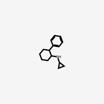 c1ccc(C2CCCCC2NC2CC2)cc1